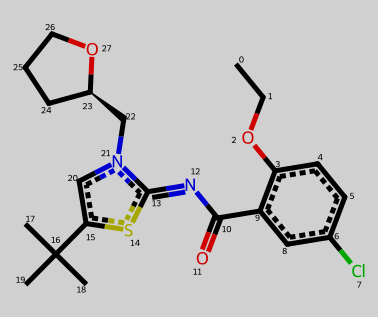 CCOc1ccc(Cl)cc1C(=O)/N=c1\sc(C(C)(C)C)cn1C[C@H]1CCCO1